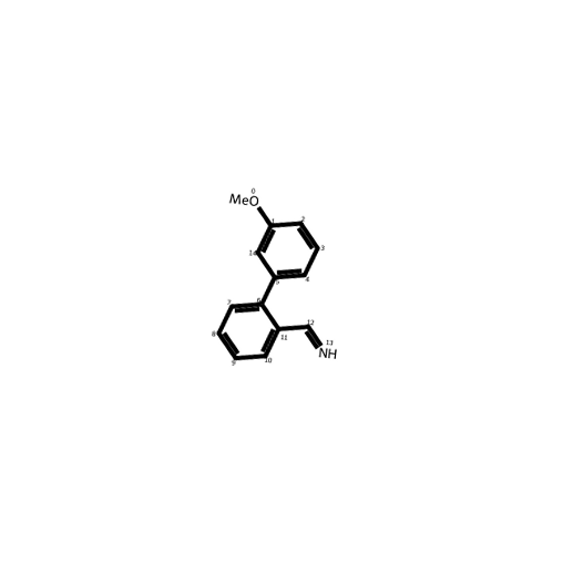 COc1cccc(-c2ccccc2C=N)c1